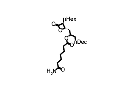 CCCCCCCCCCCC(C[C@@H]1OC(=O)[C@H]1CCCCCC)OC(=O)CCCCCC(N)=O